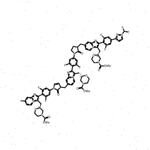 COC(=O)N1CCO[C@@H](Cc2c(-c3c(F)cc(N4C=CC(Cc5ccn6c(C[C@H]7CN(C(=O)OC)CCO7)c(-c7c(F)cc(N8CCC(Cc9ccn%10c(C[C@H]%11CN(C(=O)OC)CCO%11)c(-c%11c(F)cc(-c%12ccn(C(F)F)n%12)cc%11F)nc%10c9)C8=O)cc7F)nc6c5)C4=O)cc3F)nc3cc(C)ccn23)C1